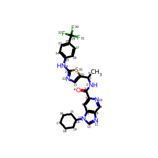 CC(NC(=O)c1cc2c(cn1)ncn2C1CCCCC1)c1cnc(Nc2ccc(C(F)(F)F)cc2)s1